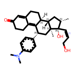 C[C@H]1C[C@H]2[C@@H]3CCC4=CC(=O)CCC4=C3[C@@H](c3ccc(N(C)C)cc3)C[C@]2(C)[C@]1(O)/C=C\CO